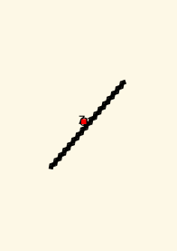 CCCCCCCCCCCCCCCCCC(=O)CCCCCCCCCCCCCCCCC.[Zn]